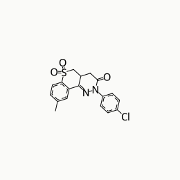 Cc1ccc2c(c1)C1=NN(c3ccc(Cl)cc3)C(=O)CC1CS2(=O)=O